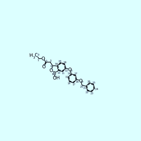 CCOC(=O)CC1OB(O)c2cc(Oc3cccc(OCc4ccccc4)c3)ccc21